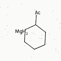 CC(=O)C1CCCCC1.[MgH2]